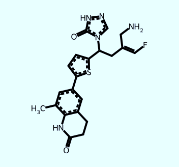 Cc1cc(-c2ccc(C(C/C(=C/F)CN)n3cn[nH]c3=O)s2)cc2c1NC(=O)CC2